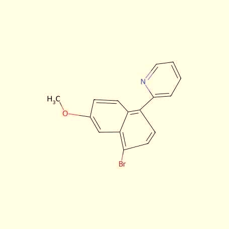 COc1ccc2c(-c3ccccn3)ccc(Br)c2c1